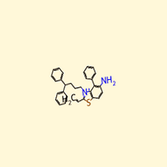 C=Cc1sc2ccc(N)c(-c3ccccc3)c2[n+]1CCCC(c1ccccc1)c1ccccc1